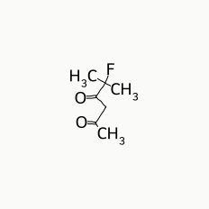 CC(=O)CC(=O)C(C)(C)F